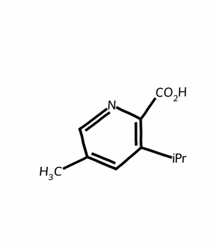 Cc1cnc(C(=O)O)c(C(C)C)c1